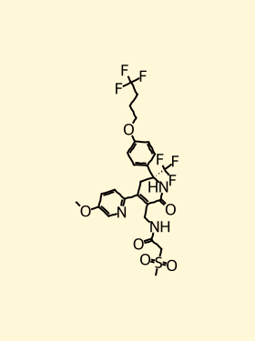 COc1ccc(C2=C(CNC(=O)CS(C)(=O)=O)C(=O)N[C@@](c3ccc(OCCCC(F)(F)F)cc3)(C(F)(F)F)C2)nc1